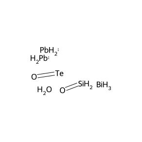 O.O=[SiH2].O=[Te].[BiH3].[PbH2].[PbH2]